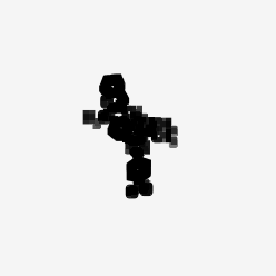 CN(Cc1ccccc1)C(=O)N(C)c1ccc(-c2cnc(-c3ccc([N+](=O)[O-])cc3)s2)c(S(=O)(=O)NC(C)(C)C)c1